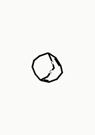 C1=CC2CCCCC(=CCC1)CCCC2